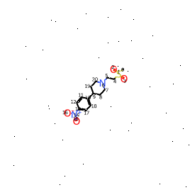 CS(=O)(=O)CCN1CCC(c2ccc([N+](=O)[O-])cc2)CC1